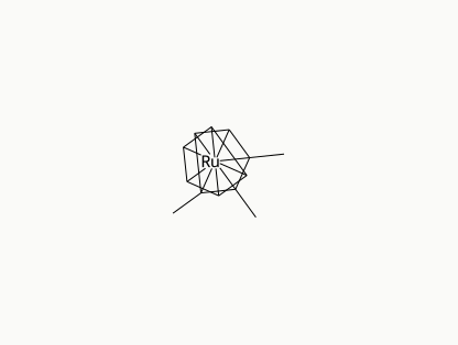 C[C]12[CH]3[CH]4[C]5(C)[C]1(C)[Ru]34251678[CH]2[CH]1[CH]6[CH]7[CH]28